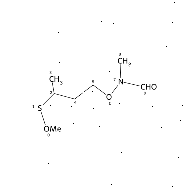 COSC(C)CCON(C)C=O